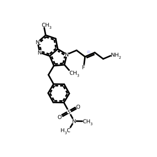 Cc1cc2c(nn1)c(Cc1ccc(S(=O)(=O)N(C)C)cc1)c(C)n2C/C(F)=C/CN